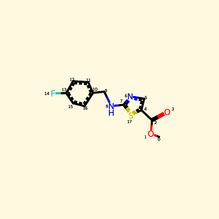 COC(=O)c1cnc(NCc2ccc(F)cc2)s1